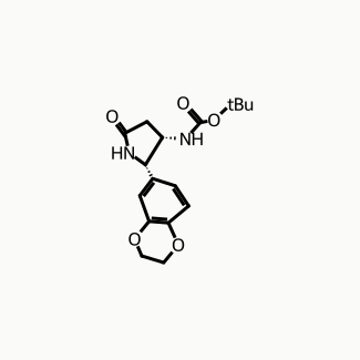 CC(C)(C)OC(=O)N[C@H]1CC(=O)N[C@H]1c1ccc2c(c1)OCCO2